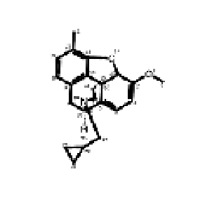 COC1=CC=C2[C@H]3Cc4ccc(C)c5c4[C@@]2(CCN3CC2CC2)C1O5